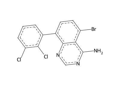 Nc1ncnc2c(-c3cccc(Cl)c3Cl)ccc(Br)c12